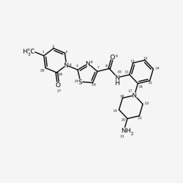 Cc1ccn(-c2nc(C(=O)Nc3ccccc3N3CCC(N)CC3)cs2)c(=O)c1